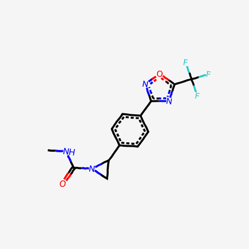 CNC(=O)N1CC1c1ccc(-c2noc(C(F)(F)F)n2)cc1